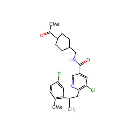 COC(=O)C1CCC(CNC(=O)c2cnc(CC(C)c3cc(Cl)ccc3OC)c(Cl)c2)CC1